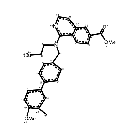 COC(=O)c1ccc2c(N(CCC(C)(C)C)Cc3ccc(-c4ccc(OC)c(C)c4)cc3)nccc2c1